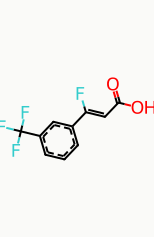 O=C(O)C=C(F)c1cccc(C(F)(F)F)c1